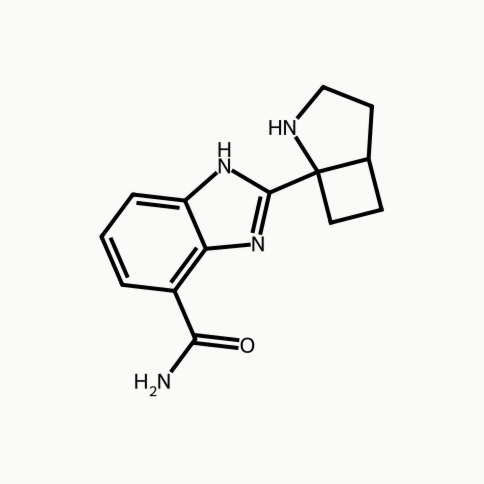 NC(=O)c1cccc2[nH]c(C34CCC3CCN4)nc12